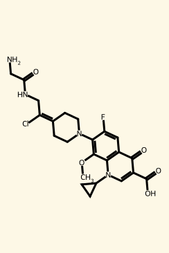 COc1c(N2CCC(=C(Cl)CNC(=O)CN)CC2)c(F)cc2c(=O)c(C(=O)O)cn(C3CC3)c12